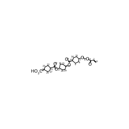 C=CC(=O)OCOC1CCC(C(=O)OC2CCC(OC(=O)C3CCC(C(=O)O)CC3)CC2)CC1